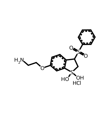 Cl.NCCOc1ccc2c(c1)S(O)(O)CC2S(=O)(=O)c1ccccc1